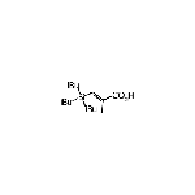 CCC(C)[Si](C=C(C)C(=O)O)(C(C)CC)C(C)CC